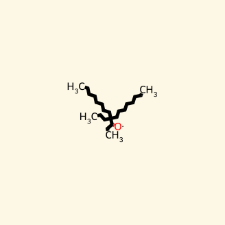 CCCCCCCCC(CCC)(CCCCCCCC)C([O])CC